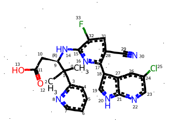 CC(C)(c1ccccn1)[C@@H](CC(=O)O)Nc1nc(-c2c[nH]c3ncc(Cl)cc23)c(C#N)cc1F